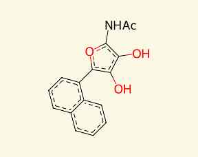 CC(=O)Nc1oc(-c2cccc3ccccc23)c(O)c1O